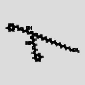 CCCCCCCCCCCCCCCCOP(OCC(O)COCCc1ccccc1)OCC(O)COCCc1ccccc1